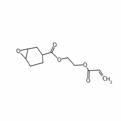 C=CC(=O)OCCOC(=O)C1CCC2OC2C1